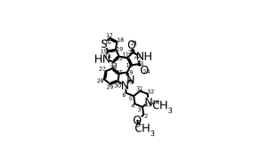 COCC1CC(Cn2nc(C3=C(c4c[nH]c5sccc45)C(=O)NC3=O)c3ccccc32)CCN1C